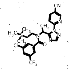 CC(c1ncnn1-c1ccc(C#N)cn1)N(CCS(C)(C)C)C(=O)c1cc(Cl)cc(C(F)(F)F)c1